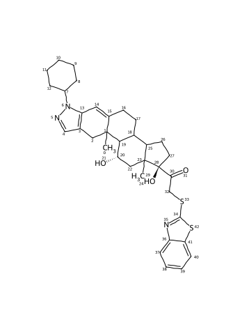 CC12Cc3cnn(C4CCCCC4)c3C=C1CCC1C2[C@@H](O)CC2(C)C1CC[C@]2(O)C(=O)CSc1nc2ccccc2s1